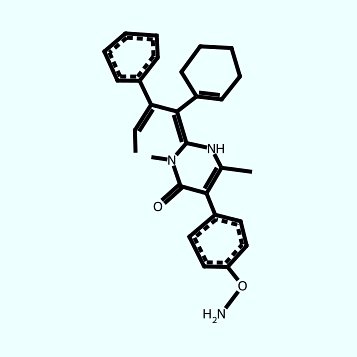 C/C=C(\C(C1=CCCCC1)=C1\NC(C)=C(c2ccc(ON)cc2)C(=O)N1C)c1ccccc1